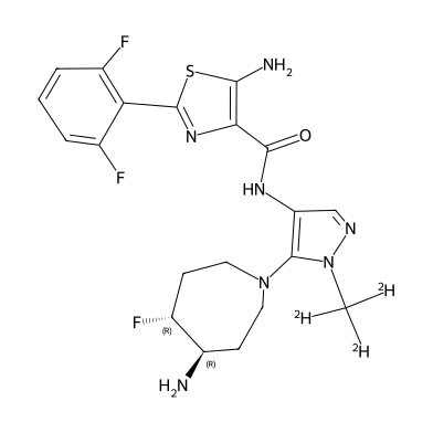 [2H]C([2H])([2H])n1ncc(NC(=O)c2nc(-c3c(F)cccc3F)sc2N)c1N1CC[C@@H](N)[C@H](F)CC1